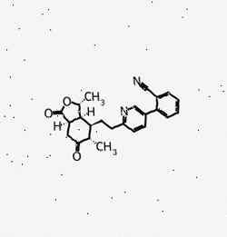 C[C@@H]1C(=O)C[C@H]2C(=O)O[C@H](C)[C@H]2[C@H]1CCc1ccc(-c2ccccc2C#N)cn1